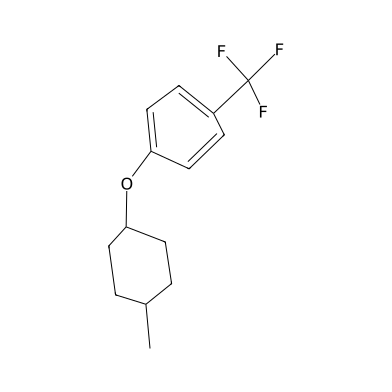 CC1CCC(Oc2ccc(C(F)(F)F)cc2)CC1